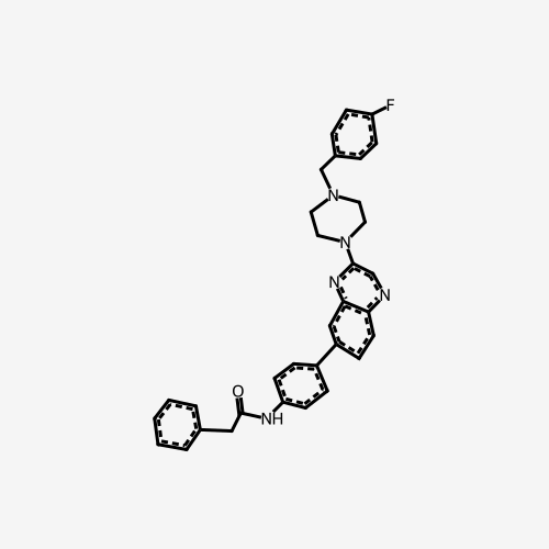 O=C(Cc1ccccc1)Nc1ccc(-c2ccc3ncc(N4CCN(Cc5ccc(F)cc5)CC4)nc3c2)cc1